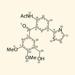 COc1cc(C(=O)c2cc(-c3nccs3)ccc2NC(C)=O)cc(CO)c1OC